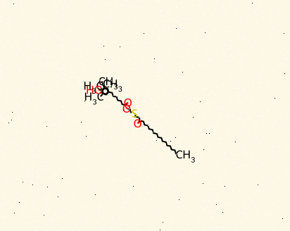 CCCCCCCCCCCCCCCCCC(=O)CCSCCOC(=O)CCCCCCc1cc(C)c(O)c(C(C)(C)C)c1